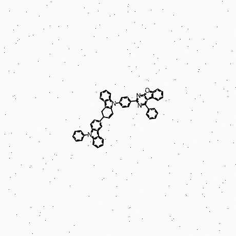 C1=CC(c2ccc3c(c2)c2ccccc2n3-c2ccccc2)Cc2c1n(-c1ccc(-c3nc(-c4ccccc4)c4c(n3)oc3ccccc34)cc1)c1ccccc21